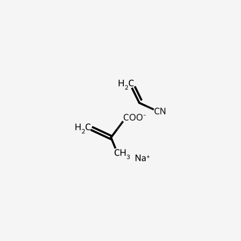 C=C(C)C(=O)[O-].C=CC#N.[Na+]